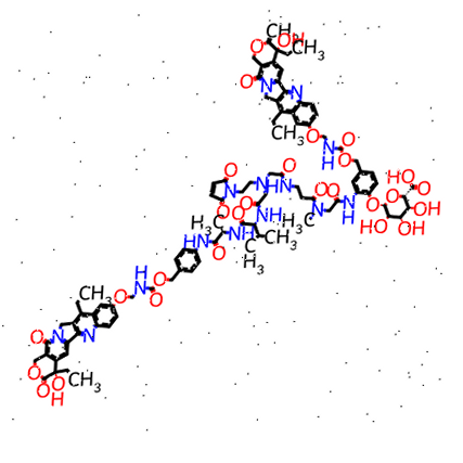 C=C1OCc2c(cc3n(c2=O)Cc2c-3nc3ccc(OCNC(=O)OCc4ccc(O[C@@H]5O[C@H](C(=O)O)[C@@H](O)[C@H](O)[C@H]5O)c(NC(=O)CN(C)C(=O)CCNC(=O)CN(CCN5C(=O)C=CC5=O)CC(=O)N[C@H](C(=O)N[C@@H](C)C(=O)Nc5ccc(COC(=O)NCOc6ccc7nc8c(c(CC)c7c6)Cn6c-8cc7c(c6=O)COC(=O)[C@]7(O)CC)cc5)C(C)C)c4)cc3c2CC)[C@@]1(O)CC